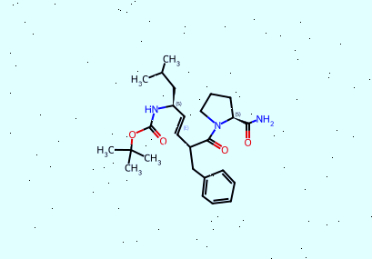 CC(C)C[C@@H](/C=C/C(Cc1ccccc1)C(=O)N1CCC[C@H]1C(N)=O)NC(=O)OC(C)(C)C